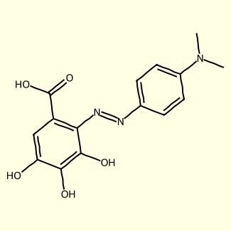 CN(C)c1ccc(/N=N/c2c(C(=O)O)cc(O)c(O)c2O)cc1